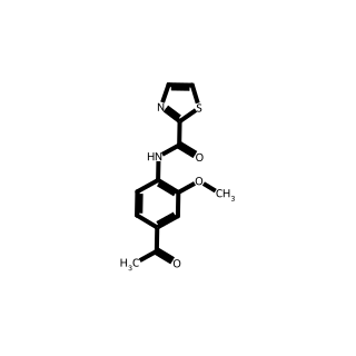 COc1cc(C(C)=O)ccc1NC(=O)c1nccs1